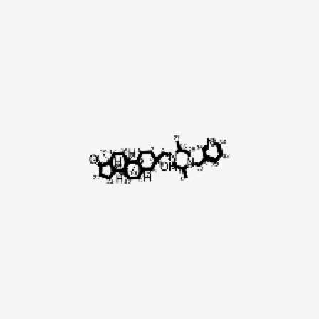 CC1CN(C[C@@]2(O)CC[C@@]3(C)[C@@H](CC[C@@H]4[C@@H]3CC[C@]3(C)C(=O)CC[C@@H]43)C2)C(C)CN1Cc1cccnc1